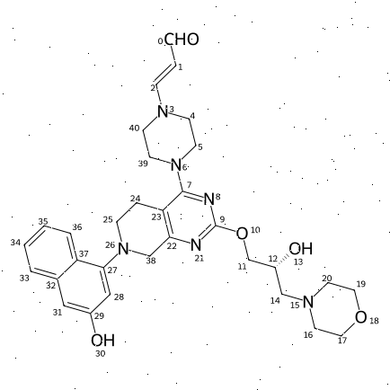 O=CC=CN1CCN(c2nc(OC[C@H](O)CN3CCOCC3)nc3c2CCN(c2cc(O)cc4ccccc24)C3)CC1